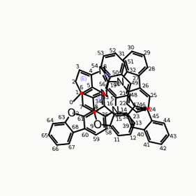 CC1C/C=C(c2ccc3oc4ccccc4c3c2)/N=C(n2c3ccccc3c3ccccc32)\N=C/1c1c(-n2c3cc4ccccc4cc3c3cc4ccccc4cc32)ccc2c1oc1ccccc12